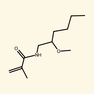 C=C(C)C(=O)NCC(CCCC)OC